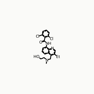 CCc1cnc2c(NC(=O)c3c(Cl)cccc3Cl)cccc2c1CN(C)CCO